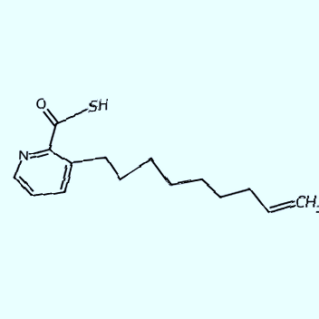 C=CCCCCCCCc1cccnc1C(=O)S